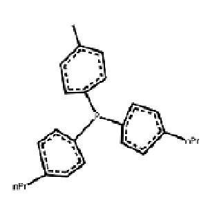 CCCc1ccc(P(c2ccc(C)cc2)c2ccc(CCC)cc2)cc1